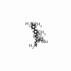 Cc1cc(-c2ccc(NC(=O)[C@H](CCCCN)NC(=O)OC(C)(C)C)c(C)c2)ccc1N